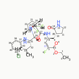 CCOC(=O)/C(F)=C\[C@H](C[C@H]1CCNC1=O)NC(=O)[C@@H]1[C@H]2CC[C@H](CC2(F)F)N1C(=O)[C@H](CC(C)C)Nc1cccc(Cl)c1